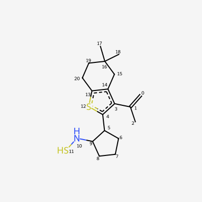 C=C(C)c1c(C2CCCC2NS)sc2c1CC(C)(C)CC2